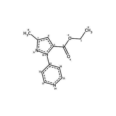 CCOC(=O)c1cc(C)nn1-c1ccncc1